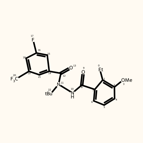 CCc1c(OC)cccc1C(=O)NN(C(=O)c1cc(F)cc(C(F)(F)F)c1)C(C)(C)C